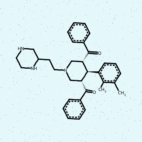 Cc1cccc([C@@H]2[C@@H](C(=O)c3ccccc3)CN(CCC3CNCCN3)C[C@H]2C(=O)c2ccccc2)c1C